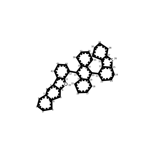 c1ccc2cc3c(cc2c1)oc1c(-c2c4ccccc4c(-c4cccc5sc6ccccc6c45)c4ccccc24)cccc13